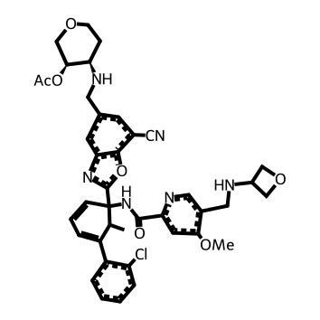 COc1cc(C(=O)NC2(c3nc4cc(CN[C@@H]5CCOC[C@@H]5OC(C)=O)cc(C#N)c4o3)C=CC=C(c3ccccc3Cl)C2C)ncc1CNC1COC1